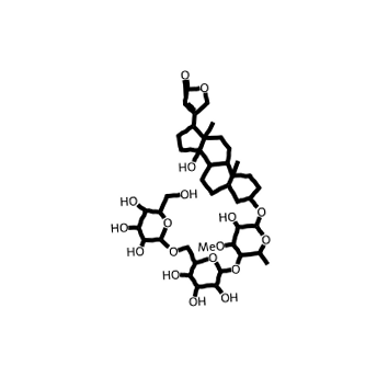 COC1C(O)C(OC2CCC3(C)C(CCC4C3CCC3(C)C(C5=CC(=O)OC5)CCC43O)C2)OC(C)C1OC1OC(COC2OC(CO)C(O)C(O)C2O)C(O)C(O)C1O